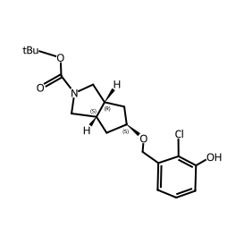 CC(C)(C)OC(=O)N1C[C@H]2C[C@H](OCc3cccc(O)c3Cl)C[C@H]2C1